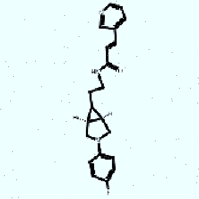 O=C(/C=C/c1cccnc1)NCCC1[C@H]2CN(c3ccc(F)cc3)C[C@@H]12